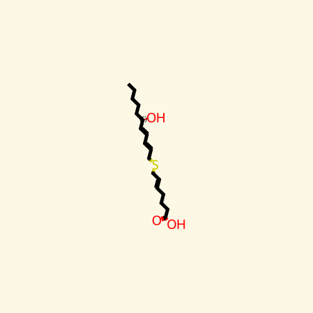 CCCCC[C@H](O)C=CC=CCSCC=CCCCC(=O)O